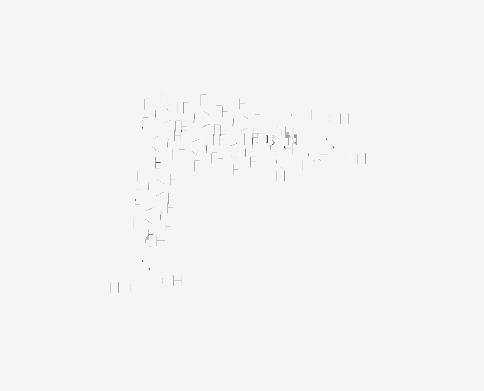 CCCN(CCC)CCC.CCCN(CCC)CCC.CCCN(CCC)CCC.Fc1c(F)c(F)c(-c2c(F)c(F)c(F)c(F)c2F)c(F)c1F.Fc1c(F)c(F)c(-c2c(F)c(F)c(F)c(F)c2F)c(F)c1F.Fc1c(F)c(F)c(-c2c(F)c(F)c(F)c(F)c2F)c(F)c1F.Fc1c(F)c(F)c(-c2c(F)c(F)c(F)c(F)c2F)c(F)c1F.OB(O)O